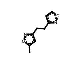 Cc1cc([CH]Cc2ccon2)no1